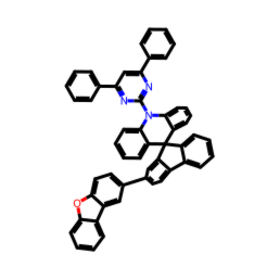 c1ccc(-c2cc(-c3ccccc3)nc(N3c4ccccc4C4(c5ccccc5-c5ccc(-c6ccc7oc8ccccc8c7c6)cc54)c4ccccc43)n2)cc1